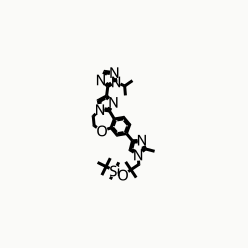 Cc1nc(-c2ccc3c(c2)OCCn2cc(-c4ncnn4C(C)C)nc2-3)cn1CC(C)(C)O[Si](C)(C)C(C)(C)C